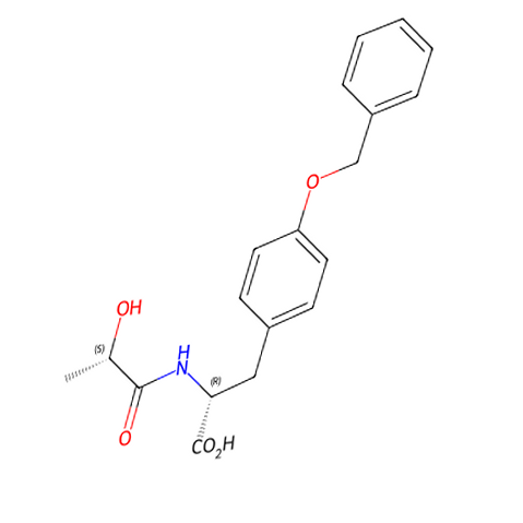 C[C@H](O)C(=O)N[C@H](Cc1ccc(OCc2ccccc2)cc1)C(=O)O